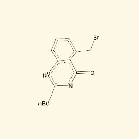 CCCCc1nc(=O)c2c(CBr)cccc2[nH]1